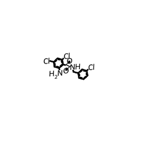 Nc1cc(Cl)cc(Cl)c1S(=O)(=O)NCc1cccc(Cl)c1